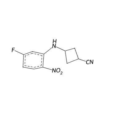 N#CC1CC(Nc2cc(F)ccc2[N+](=O)[O-])C1